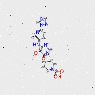 COc1c(Nc2ccc(-n3cncn3)nc2C)ncnc1OC1CCN(C(=O)O)CC1